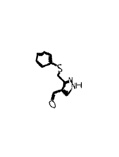 O=Cc1c[nH]nc1CSc1ccccc1